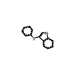 C1=C(Sc2ccccc2)c2ccccc2[N]1